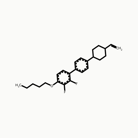 C=CC1CCC(c2ccc(-c3ccc(OCCCCC)c(F)c3F)cc2)CC1